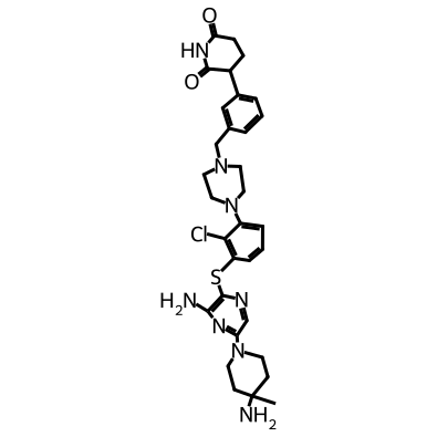 CC1(N)CCN(c2cnc(Sc3cccc(N4CCN(Cc5cccc(C6CCC(=O)NC6=O)c5)CC4)c3Cl)c(N)n2)CC1